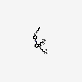 C=CCCCOc1ccc(/C=C/c2cccc3c2c(CC(=O)O)cn3CCCC(=O)O)cc1